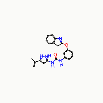 C=C(C)c1cc(NC(=O)Nc2cccc(OC3=Nc4ccccc4C3)c2)[nH]n1